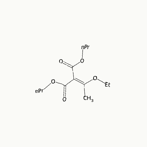 CCCOC(=O)C(C(=O)OCCC)=C(C)OCC